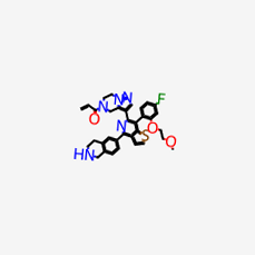 C=CC(=O)N1CCn2ncc(-c3nc(-c4ccc5c(c4)CCNC5)c4ccsc4c3-c3ccc(F)cc3OCCOC)c2C1